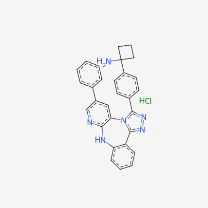 Cl.NC1(c2ccc(-c3nnc4n3-c3cc(-c5ccccc5)cnc3Nc3ccccc3-4)cc2)CCC1